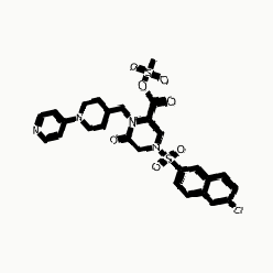 CS(=O)(=O)OC(=O)C1CN(S(=O)(=O)c2ccc3cc(Cl)ccc3c2)CC(=O)N1CC1CCN(c2ccncc2)CC1